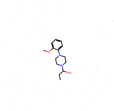 CCC(O)N1CCN(c2ccccc2OC)CC1